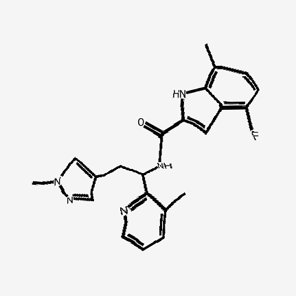 Cc1cccnc1C(Cc1cnn(C)c1)NC(=O)c1cc2c(F)ccc(C)c2[nH]1